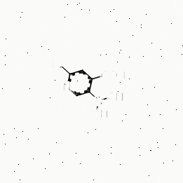 CN(C)c1cnc(Cl)cc1C(=O)O